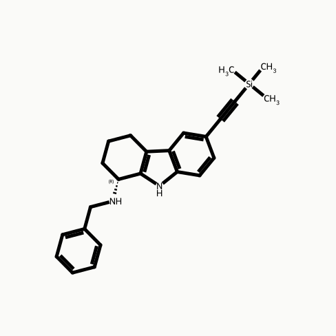 C[Si](C)(C)C#Cc1ccc2[nH]c3c(c2c1)CCC[C@H]3NCc1ccccc1